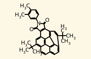 Cc1ccc(-n2c(=O)c3c4cc(C(C)(C)C)c5ccc6ccc7c(C(C)(C)C)cc(c3c2=O)c2c7c6c5c42)cc1C